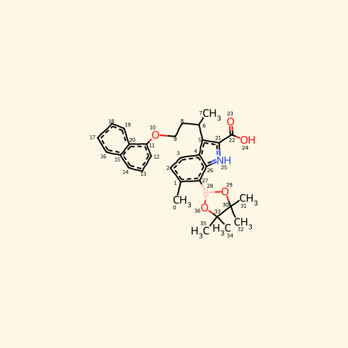 Cc1ccc2c(C(C)CCOc3cccc4ccccc34)c(C(=O)O)[nH]c2c1B1OC(C)(C)C(C)(C)O1